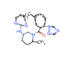 Cc1ccc(-n2cncn2)c(C(=O)N2CC(Nc3ncccn3)CCC2C)c1